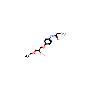 [CH2]CC(=O)Nc1ccc(OCC(O)COCC)cc1